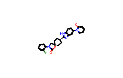 O=C1O[C@]2(CC[C@H](c3nc4cc(-n5ccccc5=O)ccc4[nH]3)CC2)CN1c1ccccc1F